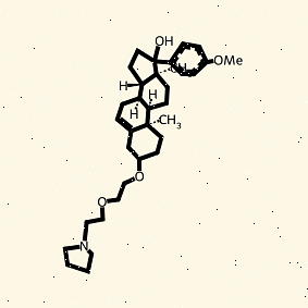 COc1ccc(C2(O)CC[C@H]3[C@@H]4CC=C5CC(OCCOCCN6CCCC6)CC[C@]5(C)[C@@H]4CC[C@@]32C)cc1